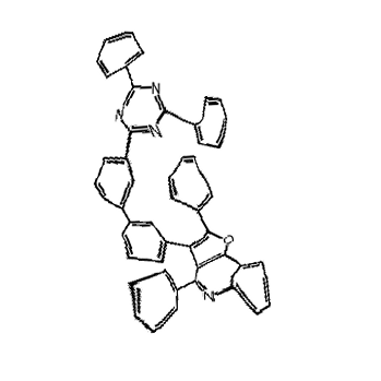 c1ccc(-c2nc(-c3ccccc3)nc(-c3cccc(-c4cccc(-c5c(-c6ccccc6)oc6c5c(-c5ccccc5)nc5ccccc56)c4)c3)n2)cc1